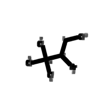 ClCC(Br)C(Cl)(Cl)Cl